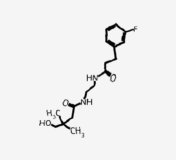 CC(C)(CO)CC(=O)NCCNC(=O)CCc1cccc(F)c1